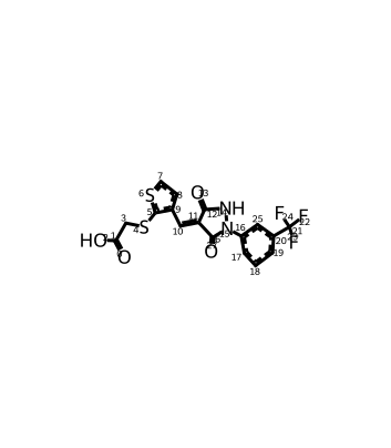 O=C(O)CSc1sccc1/C=C1\C(=O)NN(c2cccc(C(F)(F)F)c2)C1=O